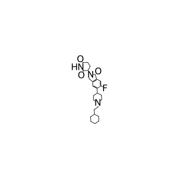 O=C1CCC(N2Cc3cc(C4CCN(CCC5CCCCC5)CC4)c(F)cc3C2=O)C(=O)N1